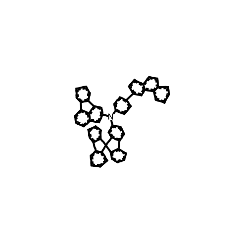 c1ccc2c(c1)-c1cccc3cc(N(c4ccc(-c5ccc6ccc7ccccc7c6c5)cc4)c4ccc5c(c4)C4(c6ccccc6-c6ccccc64)c4ccccc4-5)cc-2c13